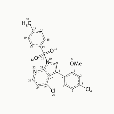 COc1cc(Cl)ccc1-c1cn(S(=O)(=O)c2ccc(C)cc2)c2nccc(Cl)c12